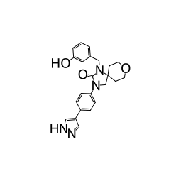 O=C1N(c2ccc(-c3cn[nH]c3)cc2)CC2(CCOCC2)N1Cc1cccc(O)c1